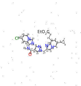 CCOC(=O)CCc1cc(C2CC2)cn2cc(Cn3cc(C(=O)N(C)c4ncn5ccc(Cl)cc45)cn3)nc12